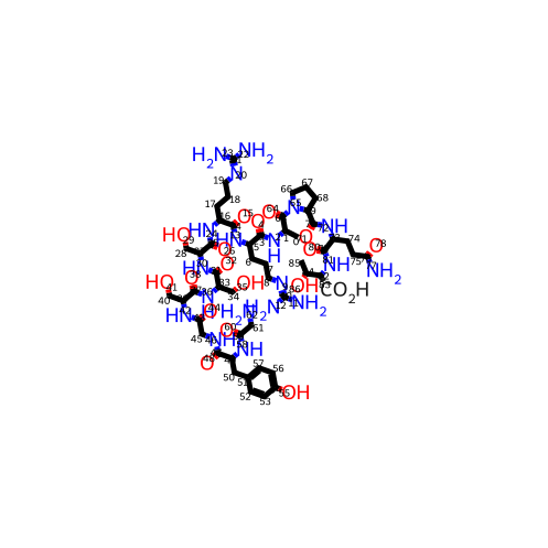 CC(NC(=O)C(CCCN=C(N)N)NC(=O)C(CCCN=C(N)N)NC(=O)C(CO)NC(=O)C(CO)NC(=O)C(CO)NC(=O)CNC(=O)C(Cc1ccc(O)cc1)NC(=O)CN)C(=O)N1CCCC1C(=O)NC(CCC(N)=O)C(=O)NC(C(=O)O)C(C)O